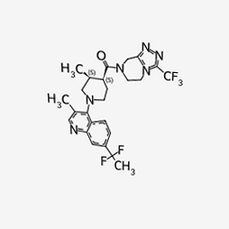 Cc1cnc2cc(C(C)(F)F)ccc2c1N1CC[C@H](C(=O)N2CCn3c(nnc3C(F)(F)F)C2)[C@H](C)C1